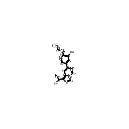 Fc1cc(-c2cc3c(C(F)F)ncn3cn2)cnc1OCC(F)(F)F